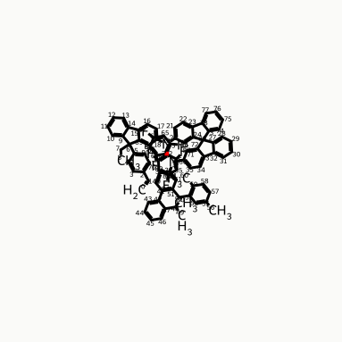 C=Cc1ccc(C2(CC)c3ccccc3-c3ccc(N(c4ccc5c(c4)C4(c6ccccc6-c6ccc(N(c7ccc(-c8ccccc8C(C)C)c(Cc8cc(C)ccc8C)c7)c7c(F)cc(F)cc7F)cc64)c4ccccc4-5)c4c(F)cc(F)cc4F)cc32)cc1